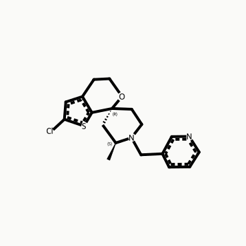 C[C@H]1C[C@@]2(CCN1Cc1cccnc1)OCCc1cc(Cl)sc12